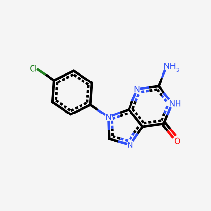 Nc1nc2c(ncn2-c2ccc(Cl)cc2)c(=O)[nH]1